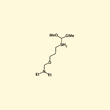 CCN(CC)COCCC[SiH2]C(OC)OC